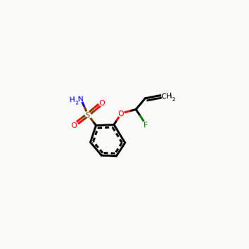 C=CC(F)Oc1ccccc1S(N)(=O)=O